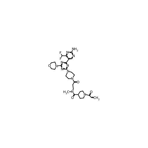 C=CC(=O)N1CCC(C(=O)N(C)CCC(=O)N2CCN(c3nc(-c4cnc(N)nc4C(F)F)nc(N4CCOCC4)n3)CC2)CC1